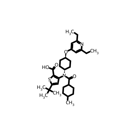 CCc1cc(O[C@H]2CC[C@H](N(C(=O)C3CCC(C)CC3)c3cc(C(C)(C)C)sc3C(=O)O)CC2)cc(CC)n1